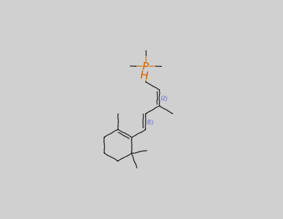 CC1=C(/C=C/C(C)=C\C[PH](C)(C)C)C(C)(C)CCC1